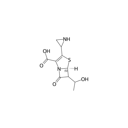 CC(O)C1C(=O)N2C(C(=O)O)=C(C3CN3)S[C@@H]12